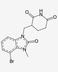 Cn1c(=O)n(CC2CCC(=O)NC2=O)c2cccc(Br)c21